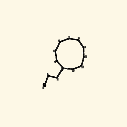 [O]CCC1CCCCCCCCC1